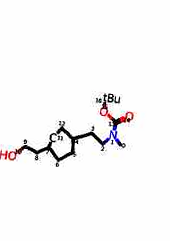 CN(CCC1CCC(CCO)CC1)C(=O)OC(C)(C)C